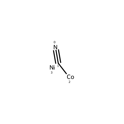 N#[C][Co].[Ni]